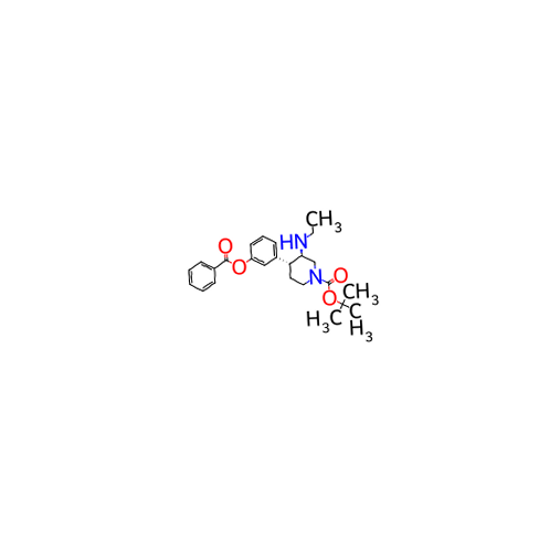 CCN[C@H]1CN(C(=O)OC(C)(C)C)CC[C@@H]1c1cccc(OC(=O)c2ccccc2)c1